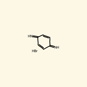 Br.N=C1C=CC(=N)C=C1